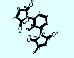 CC1=CC(=O)N(c2cccc(N3C(=O)C=CC3=O)c2C)C1=O